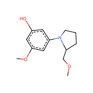 COCC1CCCN1c1cc(O)cc(OC)c1